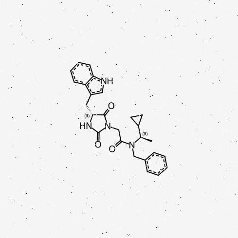 C[C@H](C1CC1)N(Cc1ccccc1)C(=O)CN1C(=O)N[C@H](Cc2c[nH]c3ccccc23)C1=O